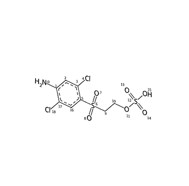 Nc1cc(Cl)c(S(=O)(=O)CCOS(=O)(=O)O)cc1Cl